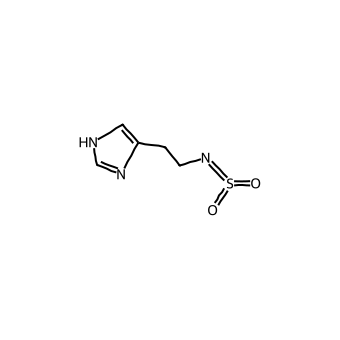 O=S(=O)=NCCc1c[nH]cn1